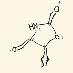 C=C1OC(=O)NC1=O